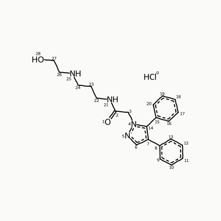 Cl.O=C(Cn1ncc(-c2ccccc2)c1-c1ccccc1)NCCCNCCO